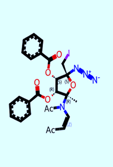 CC(=O)/C=C\N(C(C)=O)[C@]1(C)O[C@@](CI)(N=[N+]=[N-])[C@@H](OC(=O)c2ccccc2)[C@H]1OC(=O)c1ccccc1